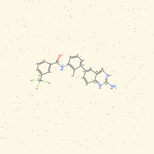 Cc1c(NC(=O)c2cccc(C(F)(F)F)c2)cccc1-c1ccc2nc(N)ncc2c1